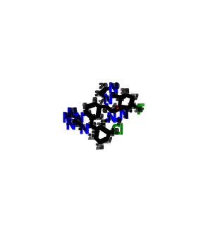 Cn1cncc1C(c1ccc2c(c1)c(-c1cccc(Cl)c1)nc1nnnn12)n1ccnc1-c1ccc(F)cc1